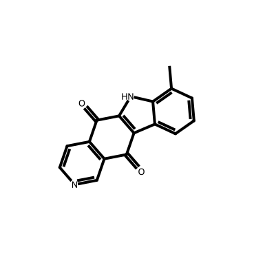 Cc1cccc2c3c([nH]c12)C(=O)c1ccncc1C3=O